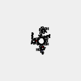 CCCCCN1C[C@H](C)O[C@@H](O[C@H]2[C@H](C)[C@@H](O[C@@H]3O[C@H](C)C/C(=N\OC)[C@H]3O)[C@@H](C)C[C@](C)(O)C(=O)[C@H](C)[C@H](OC(=O)CC(C)C)[C@@H](C)[C@@H]([C@@H](C)CO[C@@H]3O[C@H](C)[C@@H](O)[C@@H](OC)[C@H]3OC)OC(=O)[C@@H]2C)CC1C